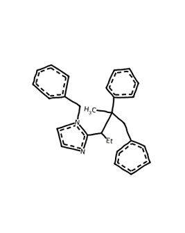 CCC(c1nccn1Cc1ccccc1)C(C)(Cc1ccccc1)c1ccccc1